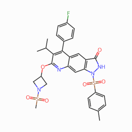 Cc1ccc(S(=O)(=O)n2[nH]c(=O)c3cc4c(-c5ccc(F)cc5)c(C(C)C)c(OC5CN(S(C)(=O)=O)C5)nc4cc32)cc1